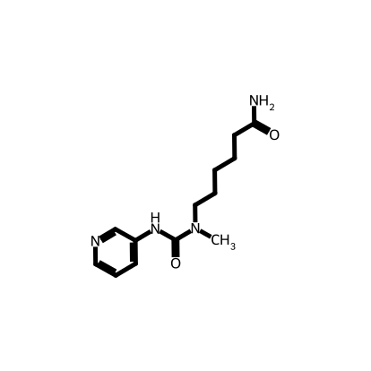 CN(CCCCCC(N)=O)C(=O)Nc1cccnc1